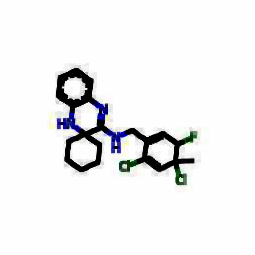 CC1(Cl)C=C(Cl)C(CNC2=Nc3ccccc3NC23CCCCC3)=CC1F